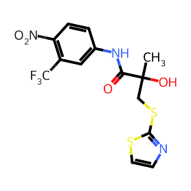 CC(O)(CSc1nccs1)C(=O)Nc1ccc([N+](=O)[O-])c(C(F)(F)F)c1